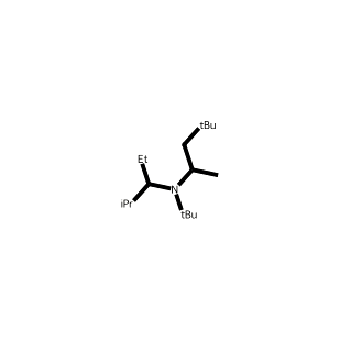 CCC(C(C)C)N(C(C)CC(C)(C)C)C(C)(C)C